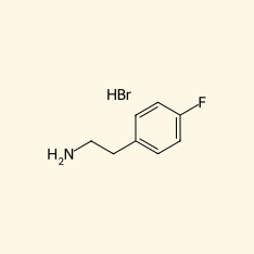 Br.NCCc1ccc(F)cc1